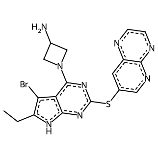 CCc1[nH]c2nc(Sc3cnc4nccnc4c3)nc(N3CC(N)C3)c2c1Br